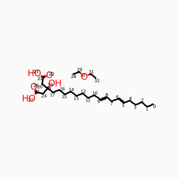 CCCCCC=CCC=CCCCCCCCCC(O)(CC(=O)O)CC(=O)O.CCOCC